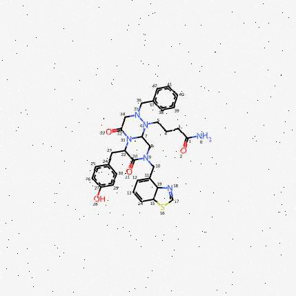 NC(=O)CCCN1C2CN(CC3=CC=CC4SC=NC34)C(=O)C(Cc3ccc(O)cc3)N2C(=O)CN1Cc1ccccc1